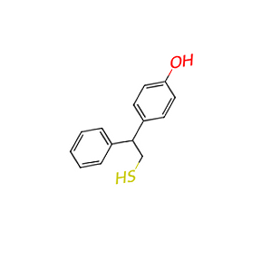 Oc1ccc(C(CS)c2ccccc2)cc1